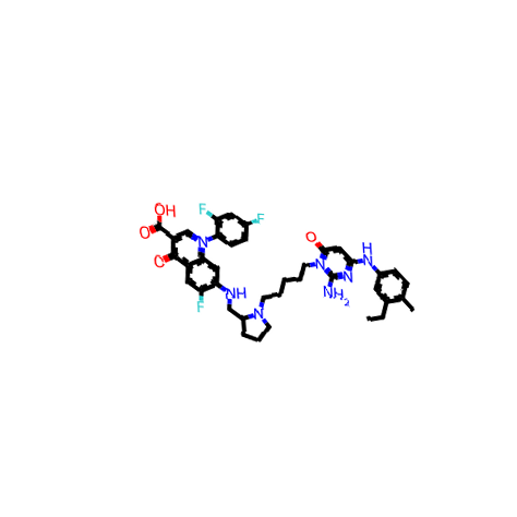 CCc1cc(Nc2cc(=O)n(CCCCCN3CCCC3CNc3cc4c(cc3F)c(=O)c(C(=O)O)cn4-c3ccc(F)cc3F)c(N)n2)ccc1C